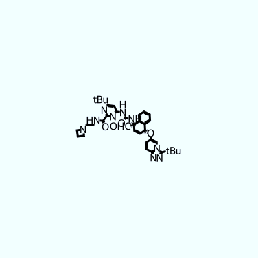 CC(C)(C)c1cc(NC(=O)N[C@@]2(C=O)C=C[C@@H](Oc3ccc4nnc(C(C)(C)C)n4c3)c3ccccc32)nc(C(=O)NCCN2CCC2)n1